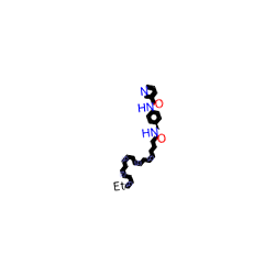 CC/C=C\C/C=C\C/C=C\C/C=C\C/C=C\CCCC(=O)NC[C@H]1CC[C@H](NC(=O)c2cccnc2)CC1